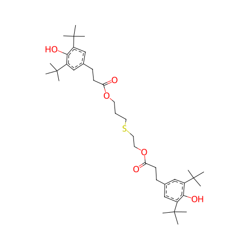 CC(C)(C)c1cc(CCC(=O)OCCCSCCOC(=O)CCc2cc(C(C)(C)C)c(O)c(C(C)(C)C)c2)cc(C(C)(C)C)c1O